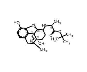 C[C@H](NC1CC[C@@]2(O)C3Cc4ccc(O)c5c4[C@@]2(CCN3C)[C@H]1O5)C(=O)OC(C)(C)C